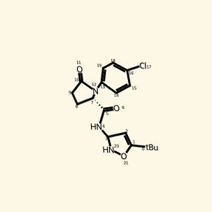 CC(C)(C)C1=CC(NC(=O)[C@@H]2CCC(=O)N2c2ccc(Cl)cc2)NO1